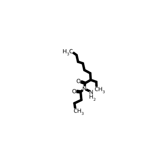 CCCCCCC(CC)C(=O)N(N)C(=O)CCC